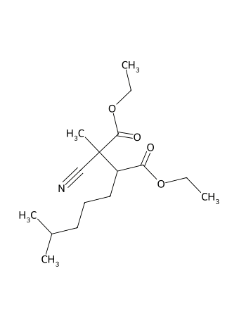 CCOC(=O)C(CCCC(C)C)C(C)(C#N)C(=O)OCC